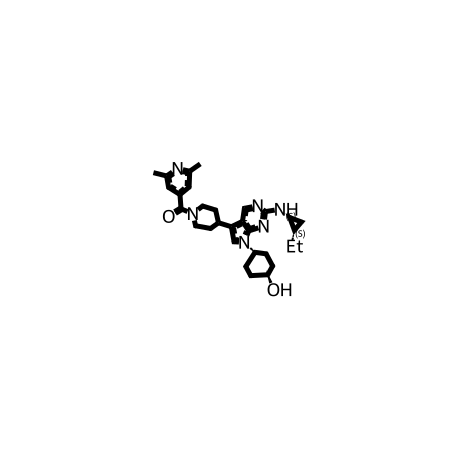 CC[C@H]1C[C@@H]1Nc1ncc2c(C3CCN(C(=O)c4cc(C)nc(C)c4)CC3)cn([C@H]3CC[C@H](O)CC3)c2n1